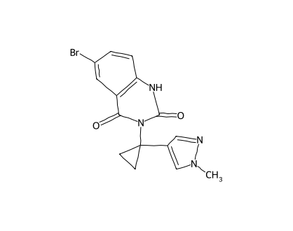 Cn1cc(C2(n3c(=O)[nH]c4ccc(Br)cc4c3=O)CC2)cn1